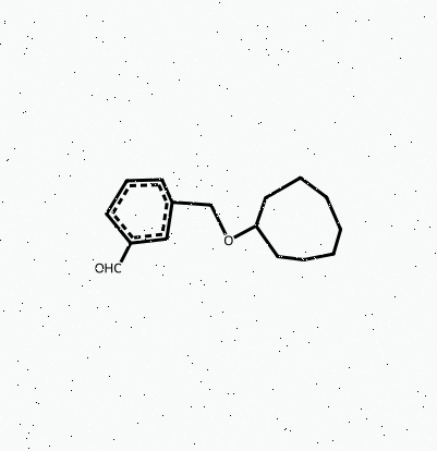 O=Cc1cccc(COC2CCCCCCC2)c1